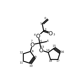 C=CC(=O)OC(C)(OC1C#CCC1)OC1C#CCC1